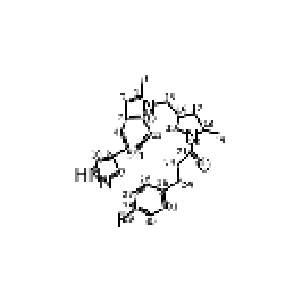 Cc1cc2cc(-c3cn[nH]c3)ccc2n1CC1CC(C)N(C(=O)CCc2ccc(F)cc2)C1